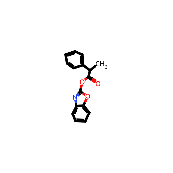 CC(C(=O)Oc1nc2ccccc2o1)c1ccccc1